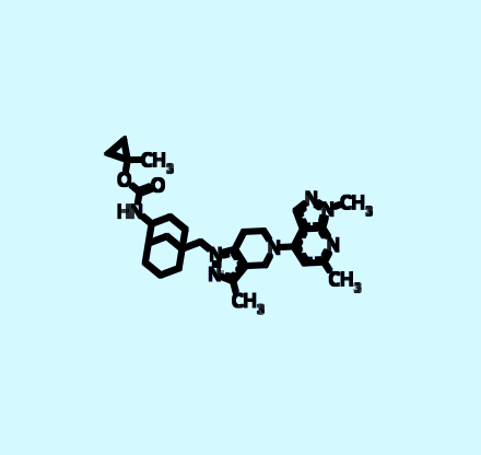 Cc1cc(N2CCc3c(c(C)nn3CC34CCCC(C3)C(NC(=O)OC3(C)CC3)CC4)C2)c2cnn(C)c2n1